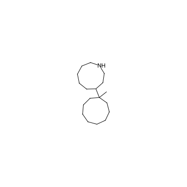 CC1(C2CCCCCNCC2)CCCCCCCC1